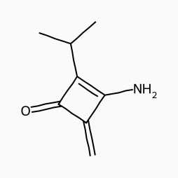 C=C1C(=O)C(C(C)C)=C1N